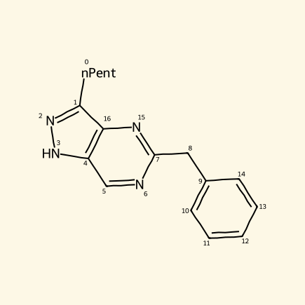 CCCCCc1n[nH]c2cnc(Cc3ccccc3)nc12